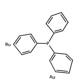 [Au].[Ru].c1ccc(P(c2ccccc2)c2ccccc2)cc1